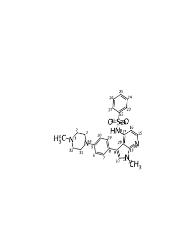 CN1CCN(c2ccc(-c3cn(C)c4nccc(NS(=O)(=O)c5ccccc5)c34)cc2)CC1